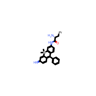 CC(C)C[C@@H](N)C(=O)Nc1ccc2c(c1)[Si](C)(C)C1=CC(=N)C=CC1=C2c1ccccc1